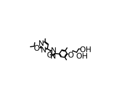 Cc1cc(-c2nc(-c3cc(C)c(OCC(O)CO)c(C)c3)no2)nc(OC(C)C)n1